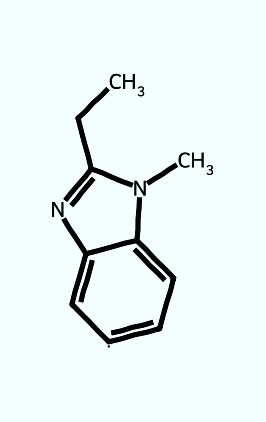 CCc1nc2c[c]ccc2n1C